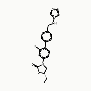 CC[C@H]1CN(c2ccc(-c3ccc(CNn4cnnc4)cc3)c(F)c2)C(=O)O1